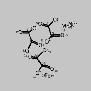 O=C([O-])C(=O)[O-].O=C([O-])C(=O)[O-].O=C([O-])C(=O)[O-].[Fe+2].[Mn+2].[Ni+2]